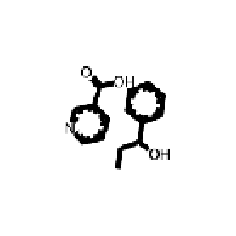 CCC(O)c1ccccc1.O=C(O)c1cccnc1